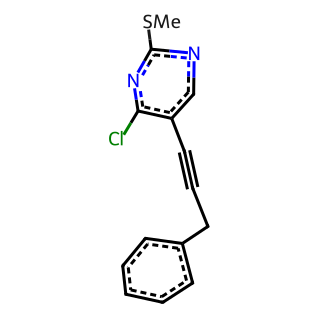 CSc1ncc(C#CCc2ccccc2)c(Cl)n1